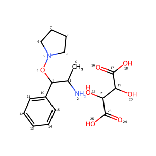 CC(N)C(ON1CCCC1)c1ccccc1.O=C(O)C(O)C(O)C(=O)O